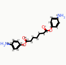 Nc1ccc(OC(=O)CCCCCC(=O)Oc2ccc(N)cc2)cc1